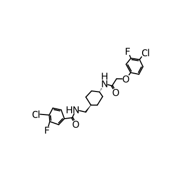 O=C(COc1ccc(Cl)c(F)c1)N[C@H]1CC[C@H](CNC(=O)c2ccc(Cl)c(F)c2)CC1